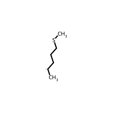 C[CH]CCCSC